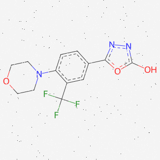 Oc1nnc(-c2ccc(N3CCOCC3)c(C(F)(F)F)c2)o1